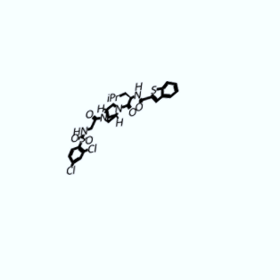 CC(C)C[C@@H](NC(=O)c1cc2ccccc2s1)C(=O)N1C[C@@H]2C[C@H]1CN2C(=O)CNS(=O)(=O)c1ccc(Cl)cc1Cl